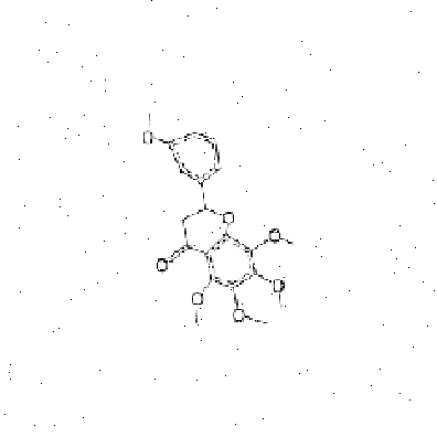 COc1cccc(C2CC(=O)c3c(OC)c(OC)c(OC)c(OC)c3O2)c1